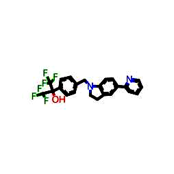 OC(c1ccc(CN2CCc3cc(-c4ccccn4)ccc32)cc1)(C(F)(F)F)C(F)(F)F